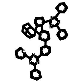 c1ccc(-c2nc(-c3ccccc3)nc(-c3cccc(-c4ccc5c(c4)C4(c6cccc(-c7nc(-c8ccccc8)nc(-c8ccccc8)n7)c6-5)C5CC6CC(C5)CC4C6)c3)n2)cc1